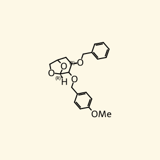 COc1ccc(COC2[C@@H]3OCC(C[C@H]2OCc2ccccc2)O3)cc1